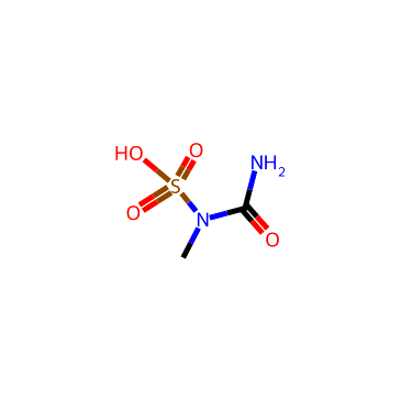 CN(C(N)=O)S(=O)(=O)O